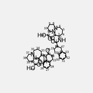 O=C(N[C@H]1CCCN2CCC[C@@H](C(=O)O)N2C1=O)[C@H](CC[C@H](Cc1ccccc1)C(=O)N[C@H]1CCCN2CCC[C@@H](C(=O)O)N2C1=O)Cc1ccccc1